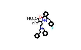 CCCC(CC(=O)O)C(CCN(CCc1ccccc1)Cc1ccccc1)n1nc(Cc2ccc(F)cc2)c2ccccc2c1=O